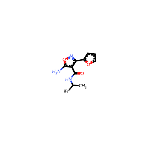 CC(C)C(C)NC(=O)c1c(-c2ccco2)noc1N